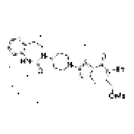 COCCN(C(=O)c1sc(N2CCC(N3CCc4ccccc4NC3=O)CC2)nc1C)C(C)C